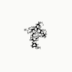 CNCC(=O)N[C@@H](Cc1ccc(O)cc1)C(=O)NCC(=O)NC(C)C(=O)N[C@@H](CC(N)=O)C(=O)NC(C)C(=O)SCC(F)(F)F